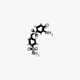 Nc1cc(S(=O)(=O)Cc2ccc(S(N)(=O)=O)cc2)ccc1Cl